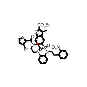 CCOC(=O)c1sc2ccc(S(=O)(=O)N(CCc3ccccc3[N+](=O)[O-])c3ccccc3N3CCN(C(=O)c4sccc4Br)CC3)cc2c1C